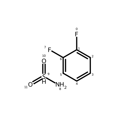 Fc1ccccc1F.N[SH](=O)=O